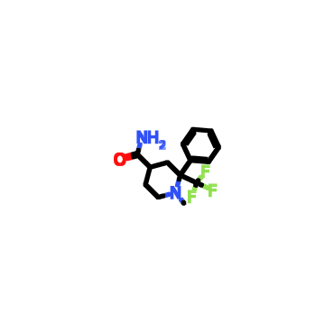 CN1CCC(C(N)=O)CC1(c1ccccc1)C(F)(F)F